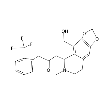 CN1CCc2cc3c(c(CO)c2C1CC(=O)Cc1ccccc1C(F)(F)F)OCO3